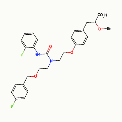 CCOC(Cc1ccc(OCCN(CCOCc2ccc(F)cc2)C(=O)Nc2ccccc2F)cc1)C(=O)O